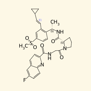 C[C@H](NC(=O)[C@@H]1CCCN1C(=O)CNC(=O)c1ccc2cc(F)ccc2n1)c1ccc(S(C)(=O)=O)cc1/C=C/C1CC1